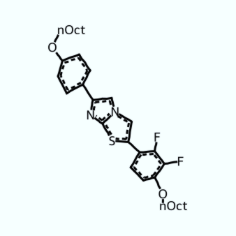 CCCCCCCCOc1ccc(-c2cn3cc(-c4ccc(OCCCCCCCC)c(F)c4F)sc3n2)cc1